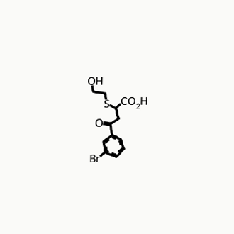 O=C(CC(SCCO)C(=O)O)c1cccc(Br)c1